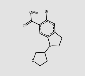 COC(=O)c1cc2c(cc1Br)CCN2C1CCOC1